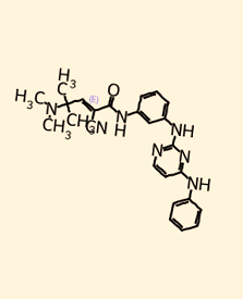 CN(C)C(C)(C)/C=C(\C#N)C(=O)Nc1cccc(Nc2nccc(Nc3ccccc3)n2)c1